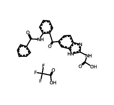 O=C(O)C(F)(F)F.O=C(O)Nc1nc2ccc(C(=O)c3ccccc3NC(=O)c3ccccc3)cc2[nH]1